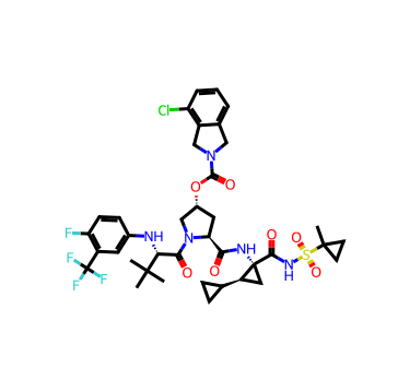 CC(C)(C)[C@H](Nc1ccc(F)c(C(F)(F)F)c1)C(=O)N1C[C@H](OC(=O)N2Cc3cccc(Cl)c3C2)C[C@H]1C(=O)N[C@]1(C(=O)NS(=O)(=O)C2(C)CC2)C[C@H]1C1CC1